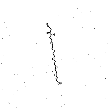 N#CCC(=O)NCCOCCOCCOCCOCCOCCO